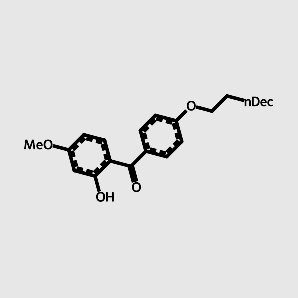 CCCCCCCCCCCCOc1ccc(C(=O)c2ccc(OC)cc2O)cc1